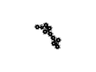 c1ccc(-c2ccc(-c3cccc4c3oc3c(N(c5ccccc5)c5ccc(-c6ccc(N(c7ccccc7)c7cccc8c7oc7ccccc78)cc6)cc5)cccc34)s2)cc1